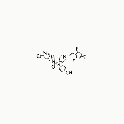 N#Cc1ccc2c(c1)c1c(n2C(=O)NCc2ccnc(Cl)c2)CCN(CC=Cc2c(F)cc(F)cc2F)C1